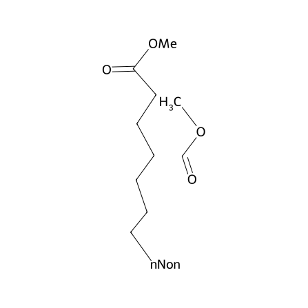 CCCCCCCCCCCCCCCC(=O)OC.COC=O